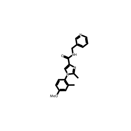 COc1ccc(-n2cc(C(=O)NCc3cccnc3)nc2C)c(C)c1